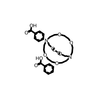 C1COCCN2CCOCCOCCN(CCO1)CCOCCOCC2.O=C(O)c1ccccc1.O=C(O)c1ccccc1